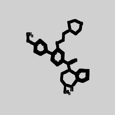 COc1ccc(-c2ccc(C(=O)N3CC[C@H](C)Nc4ccccc43)cc2OCCN2CCOCC2)cc1